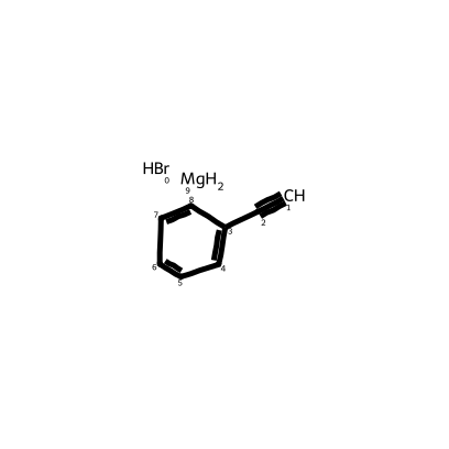 Br.C#Cc1ccccc1.[MgH2]